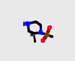 C[C@@H]1CNCCN1S(C)(=O)=O